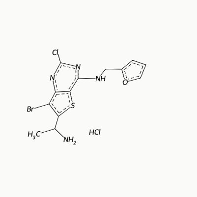 CC(N)c1sc2c(NCc3ccco3)nc(Cl)nc2c1Br.Cl